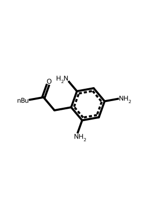 CCCCC(=O)Cc1c(N)cc(N)cc1N